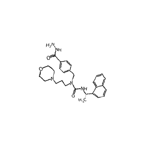 C[C@H](NC(=O)N(CCCN1CCOCC1)Cc1ccc(C(=O)NN)cc1)c1cccc2ccccc12